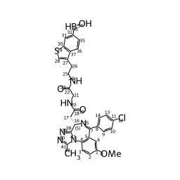 COc1ccc2c(c1)C(c1ccc(Cl)cc1)=N[C@@H](CC(=O)NCC(=O)NCCc1csc3cc(BO)ccc13)c1nnc(C)n1-2